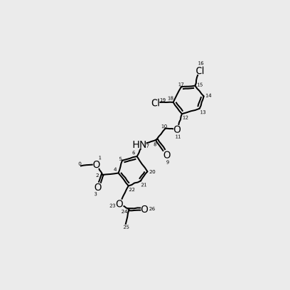 COC(=O)c1cc(NC(=O)COc2ccc(Cl)cc2Cl)ccc1OC(C)=O